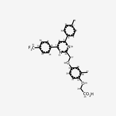 Cc1ccc(-c2cc(-c3ccc(C(F)(F)F)cc3)nc(COc3ccc(OCC(=O)O)c(C)c3)n2)cc1